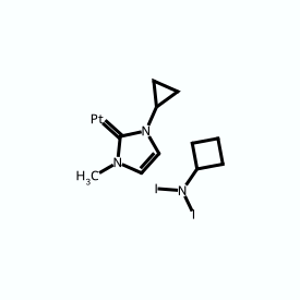 Cn1ccn(C2CC2)[c]1=[Pt].IN(I)C1CCC1